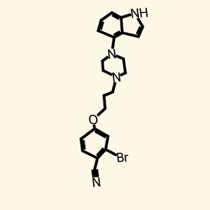 N#Cc1ccc(OCCCN2CCN(c3cccc4[nH]ccc34)CC2)cc1Br